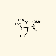 CO[N+](=O)C(CO)(CO)CO